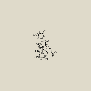 CCC12C(=O)N(c3cc(Cl)cc(Cl)c3)C(=O)C1C1CC(C(F)F)CN1C21c2cc(Cl)cc(Cl)c2NC1OC